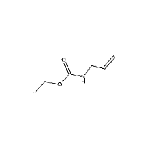 [CH2]COC(=O)NCC=C